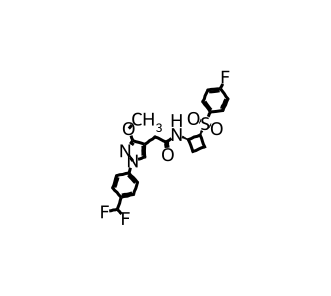 COc1nn(-c2ccc(C(F)F)cc2)cc1CC(=O)N[C@@H]1CC[C@@H]1S(=O)(=O)c1ccc(F)cc1